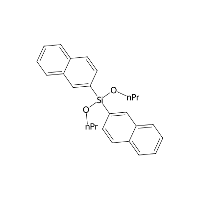 CCCO[Si](OCCC)(c1ccc2ccccc2c1)c1ccc2ccccc2c1